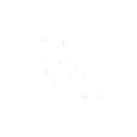 CCCCCCCCC(F)(S)C(F)(F)C(F)(F)C(F)(F)C(F)(F)F